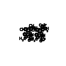 COc1cccc([C@H]2O[C@H](Cc3ncc(CC(=O)[O-])o3)C(=O)N(CC(C)(C)CO)c3ccc(Cl)cc32)c1OC.COc1cccc([C@H]2O[C@H](Cc3ncc(CC(=O)[O-])o3)C(=O)N(CC(C)(C)CO)c3ccc(Cl)cc32)c1OC.[Ca+2]